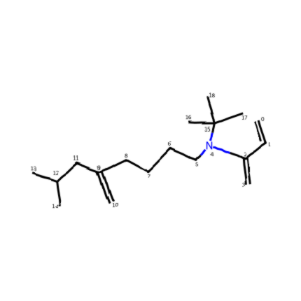 C=CC(=C)N(CCCCC(=C)CC(C)C)C(C)(C)C